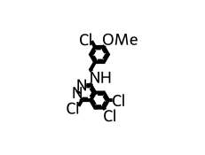 COc1ccc(CNc2nnc(Cl)c3cc(Cl)c(Cl)cc23)cc1Cl